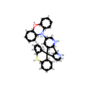 c1ccc2c(c1)Oc1ccccc1N2c1cnc2c(c1)C1(c3ccccc3Sc3ccccc31)c1cccnc1-2